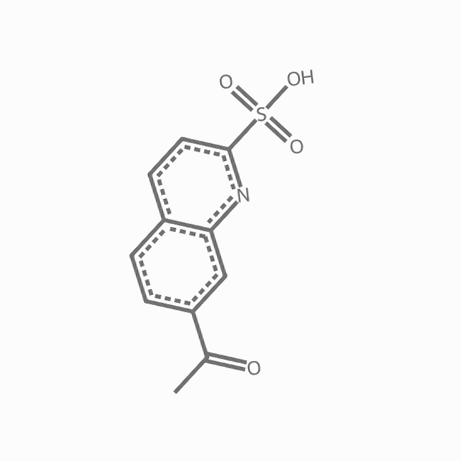 CC(=O)c1ccc2ccc(S(=O)(=O)O)nc2c1